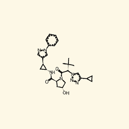 CC(C)(C)[C@@H](C(=O)N1C[C@H](O)C[C@H]1C(=O)N[C@@H]1C[C@H]1c1cnn(-c2ccccc2)c1)n1cc(C2CC2)nn1